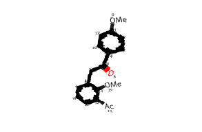 COc1ccc(C(=O)Cc2cccc(C(C)=O)c2OC)cc1